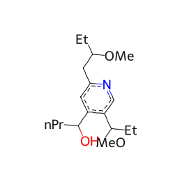 CCCC(O)c1cc(CC(CC)OC)ncc1C(CC)OC